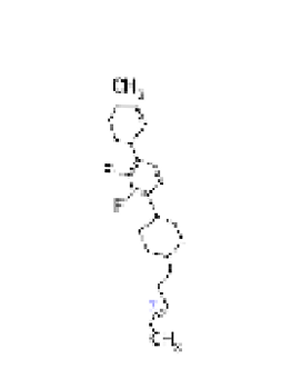 C/C=C/CCC1CCC(c2ccc(C3C=CC(C)CC3)c(F)c2F)CC1